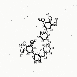 COc1cc(-c2cc(CN3CCN(Cc4cc(-c5cc(OC)c(OC)c(OC)c5)ncn4)CC3)ccn2)cc(OC)c1OC